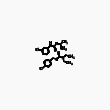 CC(C)OC(=O)Nc1cccc(Cl)c1.CCN(CC)C(=O)SCc1ccc(Cl)cc1